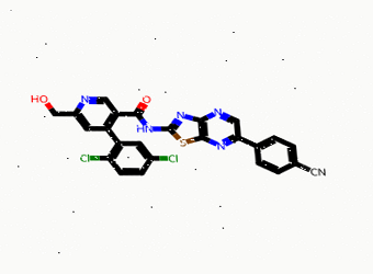 N#Cc1ccc(-c2cnc3nc(NC(=O)c4cnc(CO)cc4-c4cc(Cl)ccc4Cl)sc3n2)cc1